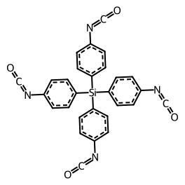 O=C=Nc1ccc([Si](c2ccc(N=C=O)cc2)(c2ccc(N=C=O)cc2)c2ccc(N=C=O)cc2)cc1